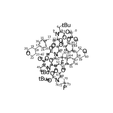 C[C@@H](OC(=O)[C@H](CC(C)(C)C)N(C)C(=O)[C@@H](Cc1ccc(C2CCOCC2)cc1)OC(=O)[C@H](CC(C)(C)F)N(C)C(=O)[C@@H](C)OC(=O)[C@H](CC(C)(C)C)N(C)C(=O)[C@@H](CCc1ccc(C2CCOCC2)cc1)OC(=O)[C@H](CC(C)(C)F)N(C)C(=O)OC(C)(C)C)C(=O)OCc1ccccc1